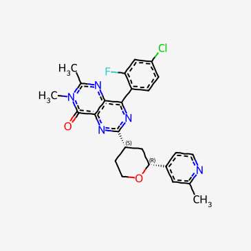 Cc1cc([C@H]2C[C@@H](c3nc(-c4ccc(Cl)cc4F)c4nc(C)n(C)c(=O)c4n3)CCO2)ccn1